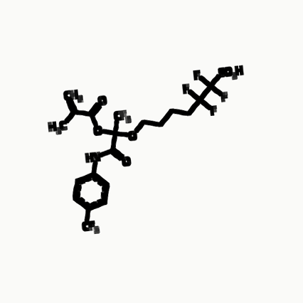 C=C(C)C(=O)OC(OCCCCC(F)(F)C(F)(F)S(=O)(=O)O)(C(=O)Nc1ccc(C(F)(F)F)cc1)C(F)(F)F